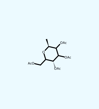 CC(=O)OCC1O[C@@H](C)C(OC(C)=O)C(OC(C)=O)[C@@H]1OC(C)=O